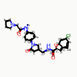 CN(C(=O)CN1CCCC1)c1ccc(N2CC(CNC(=O)C3C=C4C=CC(Cl)=CC4O3)CC2=O)cc1